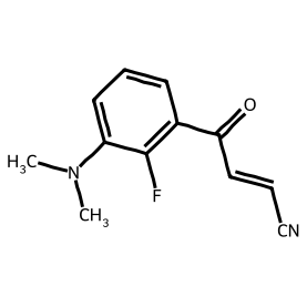 CN(C)c1cccc(C(=O)C=CC#N)c1F